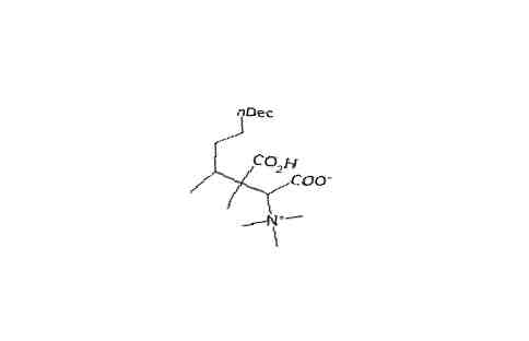 CCCCCCCCCCCCC(C)C(C)(C(=O)O)C(C(=O)[O-])[N+](C)(C)C